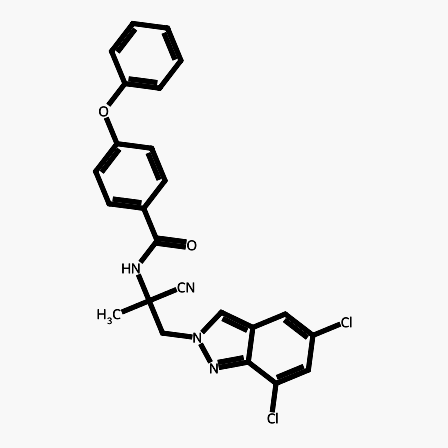 CC(C#N)(Cn1cc2cc(Cl)cc(Cl)c2n1)NC(=O)c1ccc(Oc2ccccc2)cc1